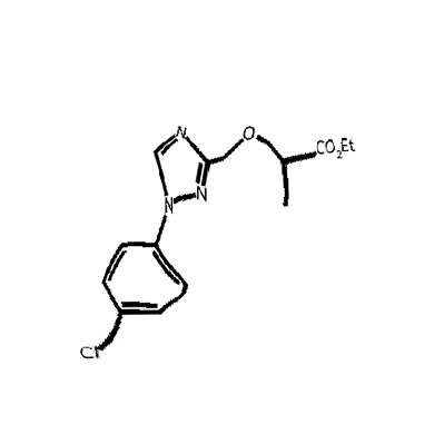 CCOC(=O)C(C)Oc1ncn(-c2ccc(Cl)cc2)n1